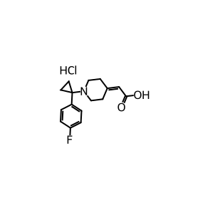 Cl.O=C(O)C=C1CCN(C2(c3ccc(F)cc3)CC2)CC1